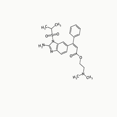 CC(C)S(=O)(=O)n1c(N)nc2ccc(/C(=C\C(=O)OCCN(C)C)c3ccccc3)cc21